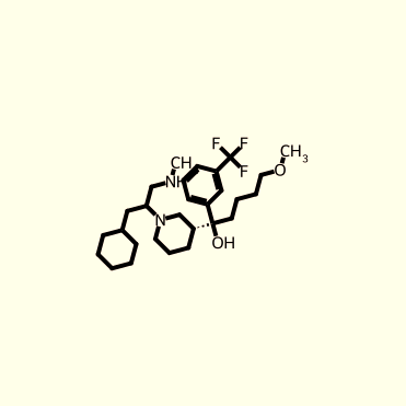 CNCC(CC1CCCCC1)N1CCC[C@@H](C(O)(CCCCOC)c2cccc(C(F)(F)F)c2)C1